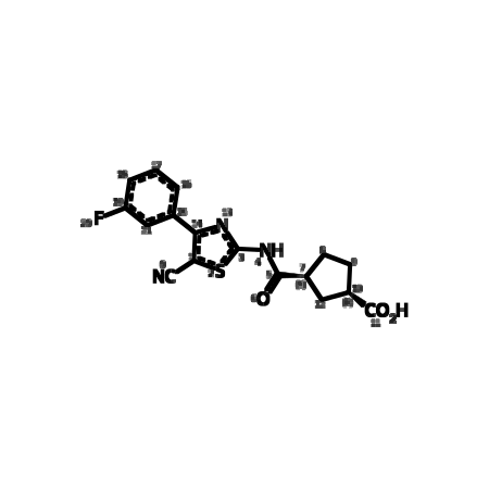 N#Cc1sc(NC(=O)[C@H]2CC[C@@H](C(=O)O)C2)nc1-c1cccc(F)c1